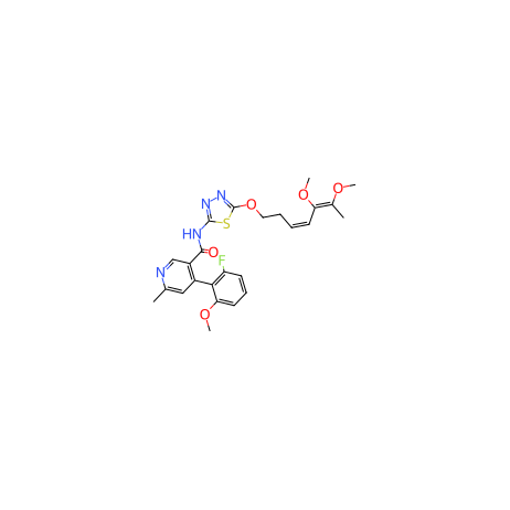 CO/C(C)=C(/C=C\CCOc1nnc(NC(=O)c2cnc(C)cc2-c2c(F)cccc2OC)s1)OC